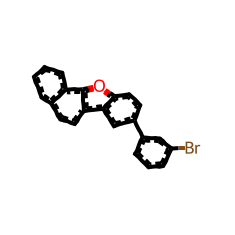 Brc1cccc(-c2ccc3oc4c5ccccc5ccc4c3c2)c1